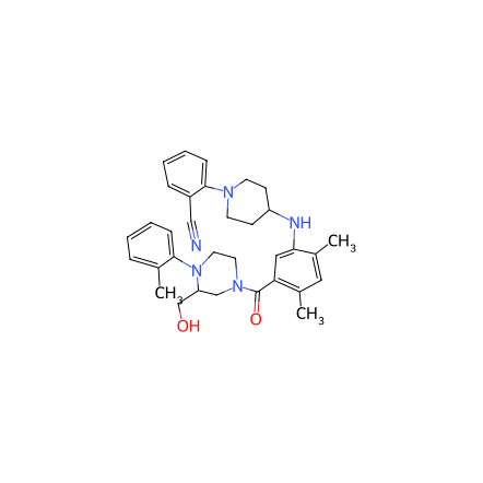 Cc1cc(C)c(C(=O)N2CCN(c3ccccc3C)C(CO)C2)cc1NC1CCN(c2ccccc2C#N)CC1